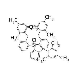 Cc1cc(C)c(Cc2ccccc2[Si](Cl)(c2ccccc2Cc2c(C)cc(C)cc2C)c2ccccc2Cc2c(C)cc(C)cc2C)c(C)c1